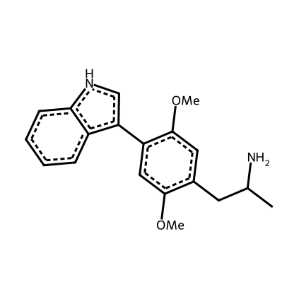 COc1cc(-c2c[nH]c3ccccc23)c(OC)cc1CC(C)N